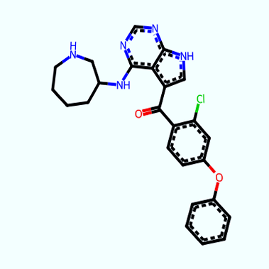 O=C(c1ccc(Oc2ccccc2)cc1Cl)c1c[nH]c2ncnc(NC3CCCCNC3)c12